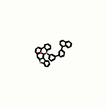 c1ccc(-c2ccccc2N(c2cccc(-c3cccc(-c4cccc5ccccc45)c3)c2)c2cccc3sc4ccccc4c23)cc1